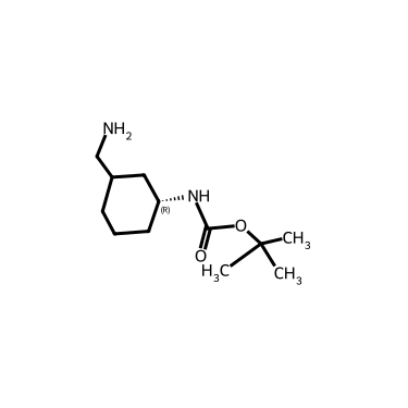 CC(C)(C)OC(=O)N[C@@H]1CCCC(CN)C1